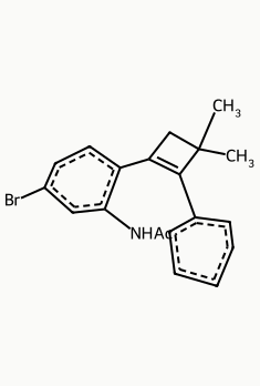 CC(=O)Nc1cc(Br)ccc1C1=C(c2ccccc2)C(C)(C)C1